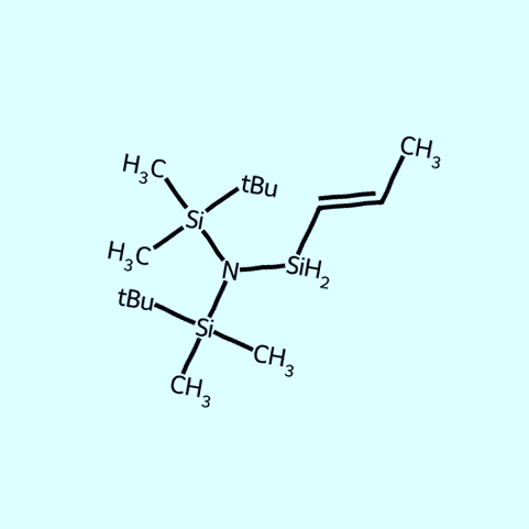 CC=C[SiH2]N([Si](C)(C)C(C)(C)C)[Si](C)(C)C(C)(C)C